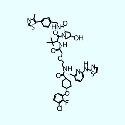 Cc1ncsc1-c1ccc(CNC(=O)[C@@H]2C[C@@H](O)CN2C(=O)[C@@H](NC(=O)COCCNC(=O)[C@]2(Cc3cccc(Nc4nccs4)n3)CC[C@@H](Oc3cccc(Cl)c3F)CC2)C(C)(C)C)cc1